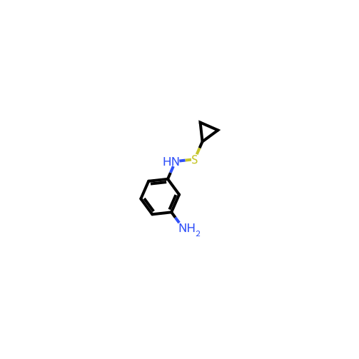 Nc1cccc(NSC2CC2)c1